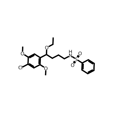 CCOC(CCCNS(=O)(=O)c1ccccc1)c1cc(OC)c(Cl)cc1OC